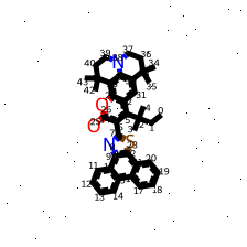 CCC(C)(C)c1c(-c2nc3c4ccccc4c4ccccc4c3s2)c(=O)oc2c3c4c(cc12)C(C)(C)CCN4CCC3(C)C